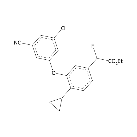 CCOC(=O)C(F)c1ccc(C2CC2)c(Oc2cc(Cl)cc(C#N)c2)c1